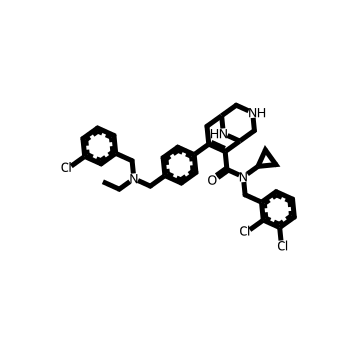 CCN(Cc1ccc(C2=C(C(=O)N(Cc3cccc(Cl)c3Cl)C3CC3)C3CNCC(C2)N3)cc1)Cc1cccc(Cl)c1